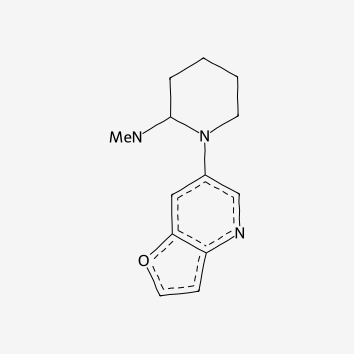 CNC1CCCCN1c1cnc2ccoc2c1